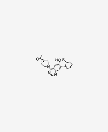 CC(=O)N1CCN(c2ncnc3cc(-c4ccccc4F)c(O)cc23)CC1